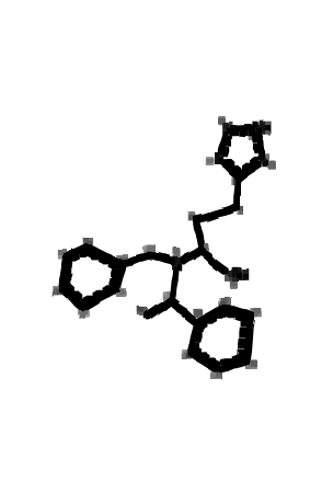 CCCCC(CCc1nn[nH]n1)N(Cc1ccccc1)C(C)c1ccccc1